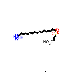 O=C(O)CCCS(=O)(=O)C(=O)CCCCCCCCCCCCCCCc1nnn[nH]1